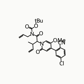 C=CCN(C(=O)OC(C)(C)C)C(=O)C(C(C)C=C)n1cc(OC)c(-c2cc(Cl)ccc2C#N)cc1=O